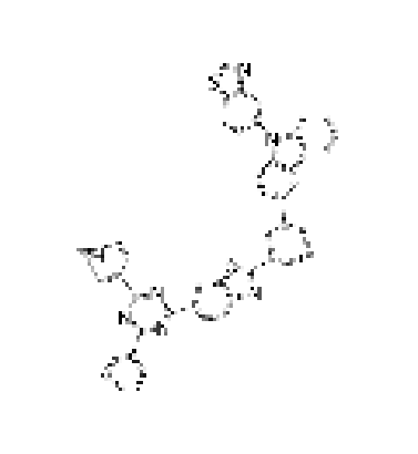 C1=CC2=C[C@H]2C=C1c1nc(-c2ccccc2)nc(-c2ccc3nc(-c4cccc(-c5ccc6c(c5)c5ccccc5n6-c5ccc6scnc6c5)c4)oc3c2)n1